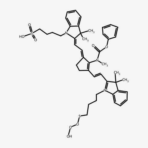 CN(C(=O)Oc1ccccc1)C1=C(/C=C/C2=[N+](CCCCSOOO)c3ccccc3C2(C)C)CC/C1=C\C=C1\N(CCCCS(=O)(=O)O)c2ccccc2C1(C)C